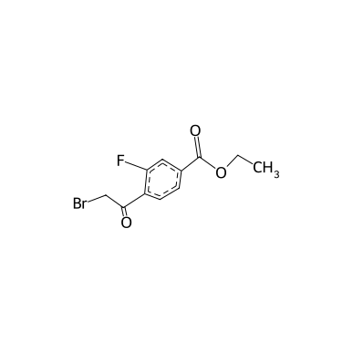 CCOC(=O)c1ccc(C(=O)CBr)c(F)c1